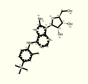 Cc1cc([Si](C)(C)C)ccc1Nc1ncnc2c1nc(N)n2[C@H]1O[C@@H](CO)[C@H](O)[C@@H]1O